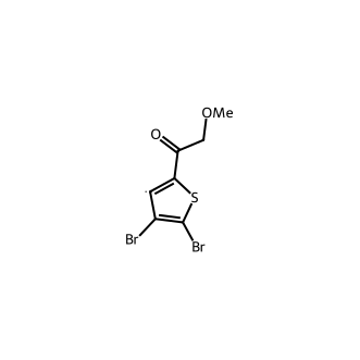 COCC(=O)c1[c]c(Br)c(Br)s1